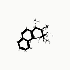 CC1(C)Oc2c(ccc3ccccc23)[C@H](O)[C@H]1Br